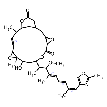 COC(/C(C)=C/C=C/C(C)=C\c1coc(C)n1)C(C)C1CC(O)C2(C)OC2/C=C/C(C)C2CC(CC(=O)O2)CC2OC2C(=O)O1